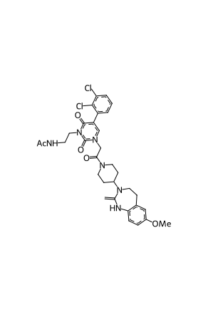 C=C1Nc2ccc(OC)cc2CCN1C1CCN(C(=O)Cn2cc(-c3cccc(Cl)c3Cl)c(=O)n(CCNC(C)=O)c2=O)CC1